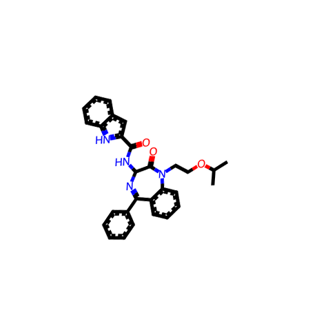 CC(C)OCCN1C(=O)C(NC(=O)c2cc3ccccc3[nH]2)N=C(c2ccccc2)c2ccccc21